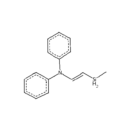 C[SiH2]C=CN(c1ccccc1)c1ccccc1